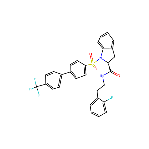 O=C(NCCc1ccccc1F)[C@@H]1Cc2ccccc2N1S(=O)(=O)c1ccc(-c2ccc(C(F)(F)F)cc2)cc1